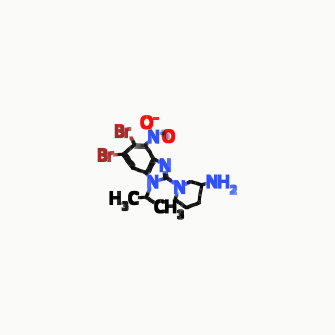 CC(C)n1c(N2CCCC(N)C2)nc2c([N+](=O)[O-])c(Br)c(Br)cc21